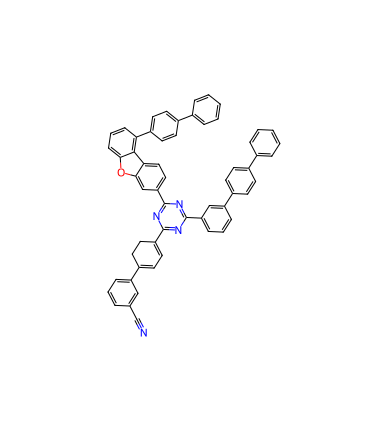 N#Cc1cccc(C2=CC=C(c3nc(-c4cccc(-c5ccc(-c6ccccc6)cc5)c4)nc(-c4ccc5c(c4)oc4cccc(-c6ccc(-c7ccccc7)cc6)c45)n3)CC2)c1